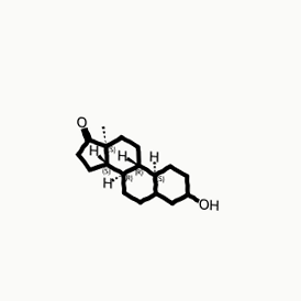 C[C@]12CC[C@H]3[C@@H](CCC4CC(O)CC[C@@H]43)[C@@H]1CCC2=O